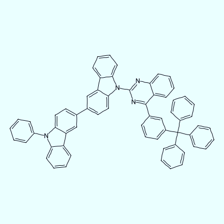 c1ccc(-n2c3ccccc3c3cc(-c4ccc5c(c4)c4ccccc4n5-c4nc(-c5cccc(C(c6ccccc6)(c6ccccc6)c6ccccc6)c5)c5ccccc5n4)ccc32)cc1